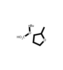 CC1CCCO1.CCCCOC(=O)O